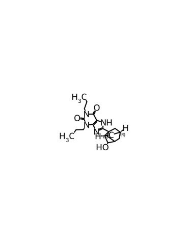 CCCn1c(=O)c2[nH]c(C34CC5C[C@H](C[C@@H]3C5O)C4)nc2n(CCC)c1=O